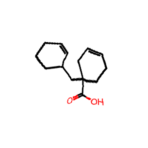 O=C(O)C1(CC2C=CCCC2)CC=CCC1